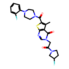 Cc1c(C(=O)N2CCN(c3ccccc3F)CC2)sc2ncn(CC(=O)N3CCC(F)C3)c(=O)c12